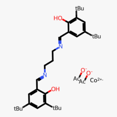 CC(=O)[O-].CC(=O)[O-].CC(C)(C)c1cc(C=NCCCN=Cc2cc(C(C)(C)C)cc(C(C)(C)C)c2O)c(O)c(C(C)(C)C)c1.[Co+2]